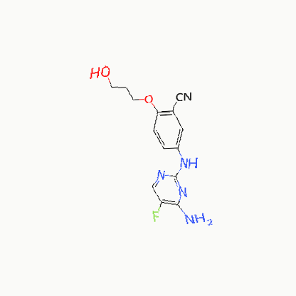 N#Cc1cc(Nc2ncc(F)c(N)n2)ccc1OCCCO